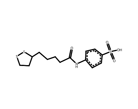 O=C(CCCCC1CCSS1)Nc1ccc(S(=O)(=O)O)cc1